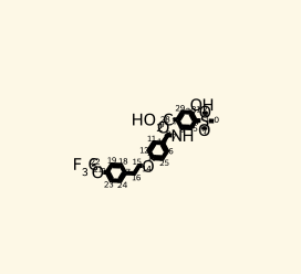 CS(=O)(=O)c1cc(NC(=O)c2ccc(OCCc3ccc(OC(F)(F)F)cc3)cc2)c(C(=O)O)cc1O